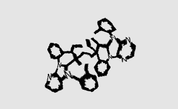 C=CC1c2ccccc2N2c3ncccc3N(c3ccccc3C)C2C1(C)CCC1(C=C)c2ccccc2N2c3nccnc3N(c3ccccc3C)C2C1C